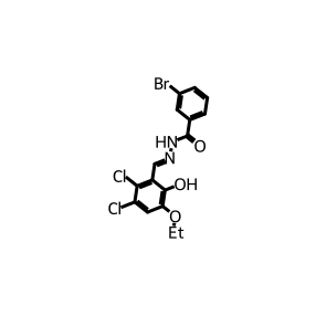 CCOc1cc(Cl)c(Cl)c(/C=N/NC(=O)c2cccc(Br)c2)c1O